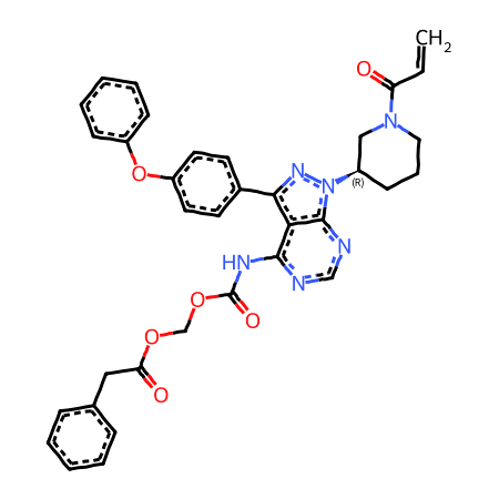 C=CC(=O)N1CCC[C@@H](n2nc(-c3ccc(Oc4ccccc4)cc3)c3c(NC(=O)OCOC(=O)Cc4ccccc4)ncnc32)C1